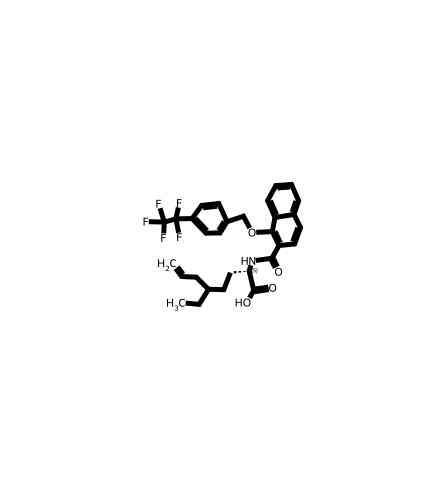 C=CCC(CC)CC[C@H](NC(=O)c1ccc2ccccc2c1OCc1ccc(C(F)(F)C(F)(F)F)cc1)C(=O)O